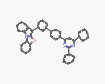 c1ccc(-c2cc(-c3ccc(-c4cccc(-c5c6ccccc6n6c5oc5ccccc56)c4)cc3)nc(-c3ccccc3)n2)cc1